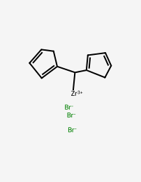 [Br-].[Br-].[Br-].[Zr+3][CH](C1=CC=CC1)C1=CC=CC1